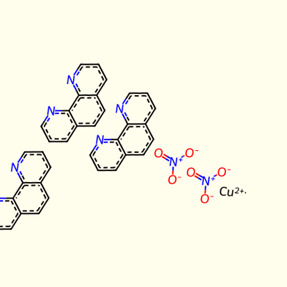 O=[N+]([O-])[O-].O=[N+]([O-])[O-].[Cu+2].c1cnc2c(c1)ccc1cccnc12.c1cnc2c(c1)ccc1cccnc12.c1cnc2c(c1)ccc1cccnc12